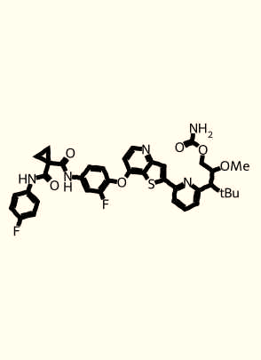 COC(COC(N)=O)C(c1cccc(-c2cc3nccc(Oc4ccc(NC(=O)C5(C(=O)Nc6ccc(F)cc6)CC5)cc4F)c3s2)n1)C(C)(C)C